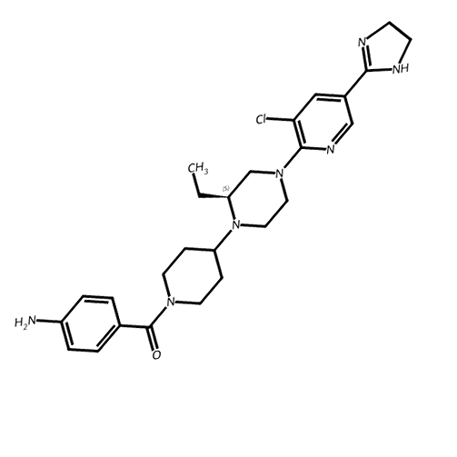 CC[C@H]1CN(c2ncc(C3=NCCN3)cc2Cl)CCN1C1CCN(C(=O)c2ccc(N)cc2)CC1